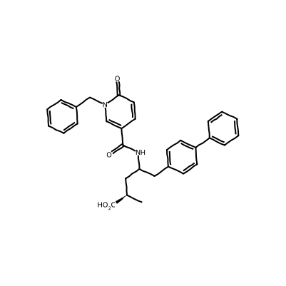 C[C@H](CC(Cc1ccc(-c2ccccc2)cc1)NC(=O)c1ccc(=O)n(Cc2ccccc2)c1)C(=O)O